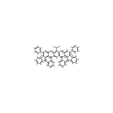 CC(C)c1c2c(cc3c1Oc1cc(-c4ccccc4)c4c5ccccc5n5c4c1B3c1ccccc1-5)B1c3ccccc3-n3c4ccccc4c4c(-c5ccccc5)cc(c1c43)O2